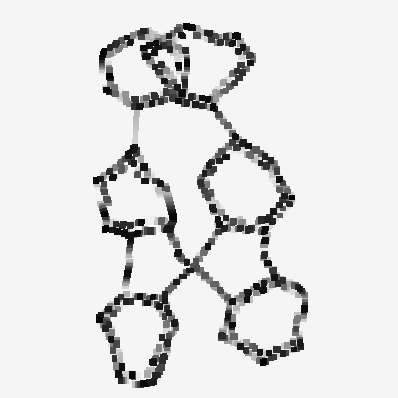 c1ccc(-c2ccc3c(c2)C2(c4ccccc4-3)c3ccccc3-c3ccc(-c4ccccc4)cc32)cc1